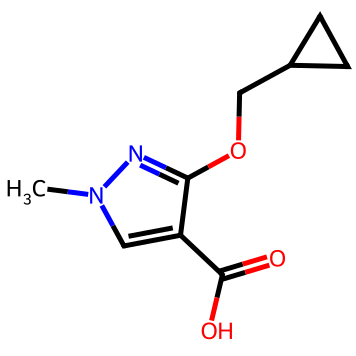 Cn1cc(C(=O)O)c(OCC2CC2)n1